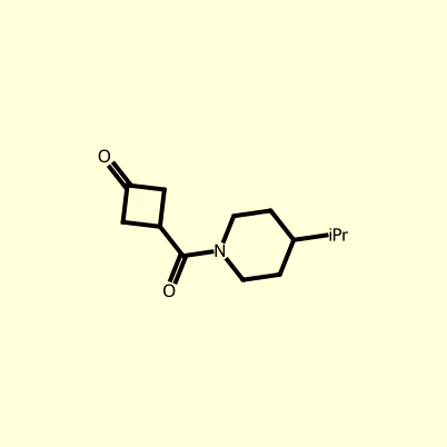 CC(C)C1CCN(C(=O)C2CC(=O)C2)CC1